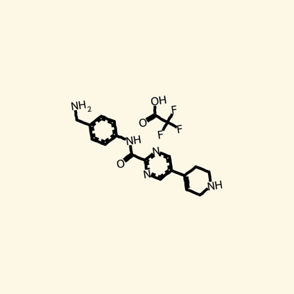 NCc1ccc(NC(=O)c2ncc(C3=CCNCC3)cn2)cc1.O=C(O)C(F)(F)F